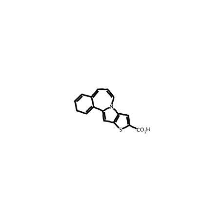 O=C(O)c1cc2c(cc3n2C=CC=C2C=CCC=C23)s1